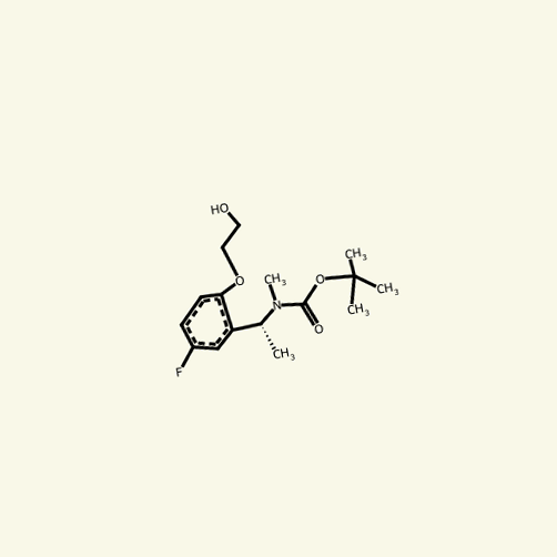 C[C@H](c1cc(F)ccc1OCCO)N(C)C(=O)OC(C)(C)C